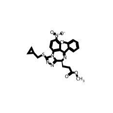 COC(=O)CC[C@@H]1N=C(c2ccccc2Cl)c2cc([N+](=O)[O-])ccc2-n2c(SCC3CC3)nnc21